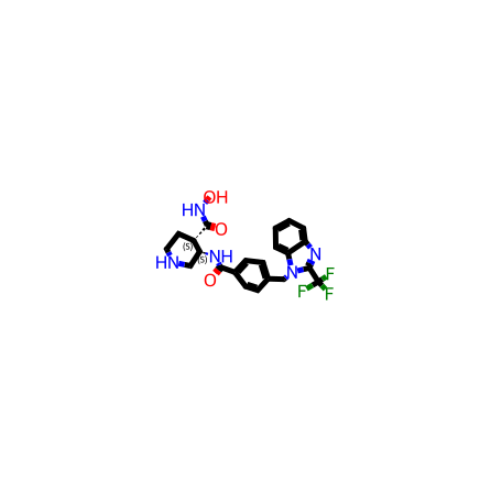 O=C(N[C@@H]1CNCC[C@@H]1C(=O)NO)c1ccc(Cn2c(C(F)(F)F)nc3ccccc32)cc1